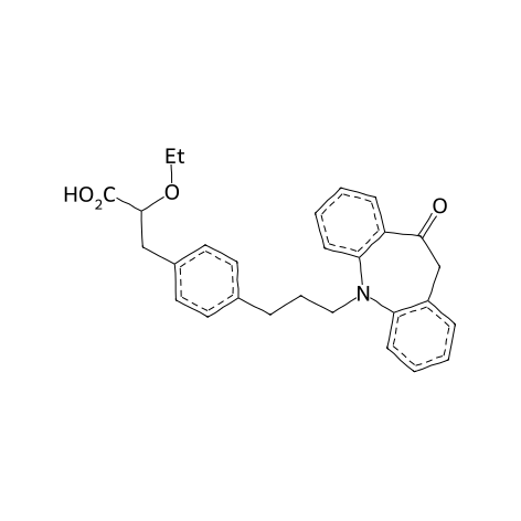 CCOC(Cc1ccc(CCCN2c3ccccc3CC(=O)c3ccccc32)cc1)C(=O)O